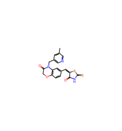 Cc1cncc(CN2C(=O)COc3ccc(C=C4SC(=S)NC4=O)cc32)c1